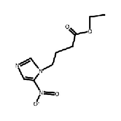 CCOC(=O)CCCn1cncc1[N+](=O)[O-]